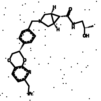 CC(C)Cc1ccc2c(n1)O[C@@H](c1ccc(CN3C[C@@H]4[C@H](C3)[C@H]4C(=O)NC[C@H](C)O)cc1)CO2